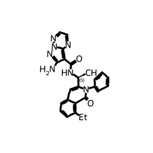 CCc1cccc2cc([C@H](C)NC(=O)c3c(N)nn4nccnc34)n(-c3ccccc3)c(=O)c12